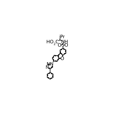 CC(C)C(NS(=O)(=O)c1ccc2oc3cc(-n4cc(-c5ccccc5)nn4)ccc3c2c1)C(=O)O